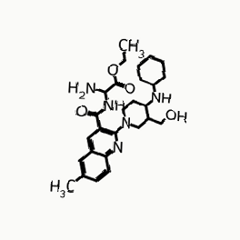 CCOC(=O)C(N)NC(=O)c1cc2cc(C)ccc2nc1N1CCC(NC2CCCCC2)C(CO)C1